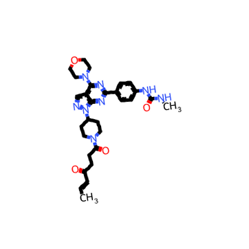 C/C=C/C(=O)CCC(=O)N1CCC(n2ncc3c(N4CCOCC4)nc(-c4ccc(NC(=O)NC)cc4)nc32)CC1